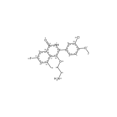 COc1ccc(-c2[nH]c(=O)c3cc(F)cc(C)c3c2OCCN)cc1Cl